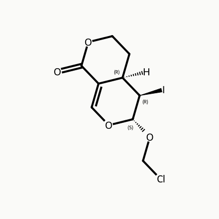 O=C1OCC[C@@H]2C1=CO[C@@H](OCCl)[C@@H]2I